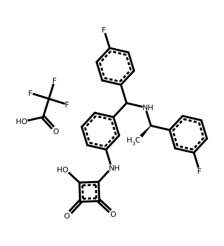 C[C@@H](NC(c1ccc(F)cc1)c1cccc(Nc2c(O)c(=O)c2=O)c1)c1cccc(F)c1.O=C(O)C(F)(F)F